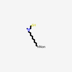 CCCCCCCCCCCCCCCCCCN(C)CCS